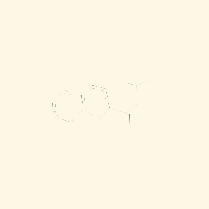 CCC1=CC(CC)Sc2cc3ccccc3cc21